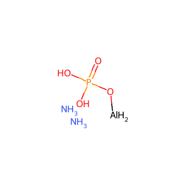 N.N.O=P(O)(O)[O][AlH2]